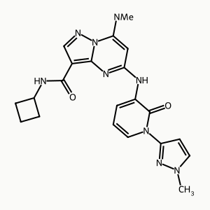 CNc1cc(Nc2cccn(-c3ccn(C)n3)c2=O)nc2c(C(=O)NC3CCC3)cnn12